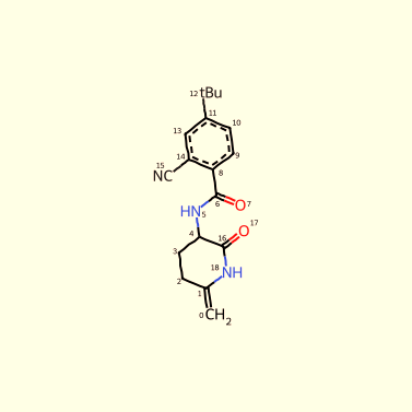 C=C1CCC(NC(=O)c2ccc(C(C)(C)C)cc2C#N)C(=O)N1